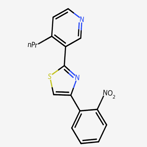 CCCc1ccncc1-c1nc(-c2ccccc2[N+](=O)[O-])cs1